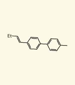 CCC=Cc1ccc(-c2ccc(C)cc2)cc1